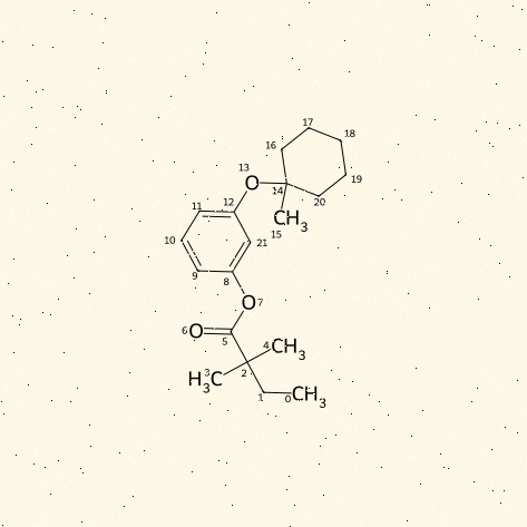 CCC(C)(C)C(=O)Oc1cccc(OC2(C)CCCCC2)c1